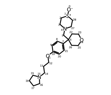 [O-][S+]1CCN(CC2(c3ccc(OCCCN4CCCC4)cc3)CCOCC2)CC1